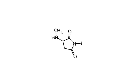 CNC1CC(=O)N(I)C1=O